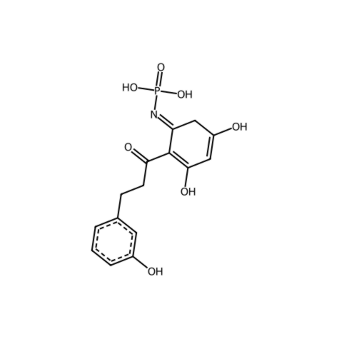 O=C(CCc1cccc(O)c1)C1=C(O)C=C(O)CC1=NP(=O)(O)O